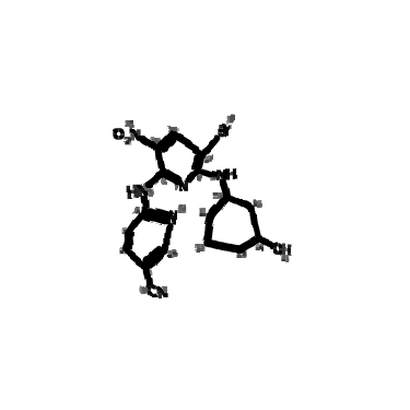 N#Cc1ccc(Nc2nc(NC3CCCC(O)C3)c(Br)cc2[N+](=O)[O-])nc1